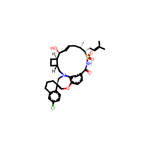 CC(C)=CC[C@H]1[C@@H](C)C/C=C/[C@H](O)[C@@H]2CC[C@H]2CN2C[C@@]3(CCCc4cc(Cl)ccc43)COc3ccc(cc32)C(=O)NS1(=O)=O